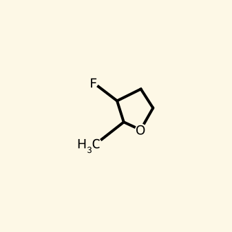 CC1OCCC1F